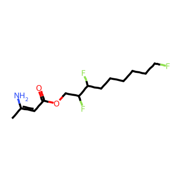 CC(N)=CC(=O)OCC(F)C(F)CCCCCCF